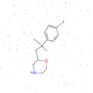 CC(C)(CC1CNCCO1)c1ccc(I)cc1